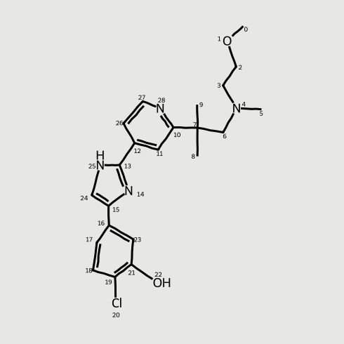 COCCN(C)CC(C)(C)c1cc(-c2nc(-c3ccc(Cl)c(O)c3)c[nH]2)ccn1